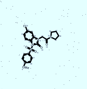 COc1ccc(S(=O)(=O)n2c(=O)n(CC(=O)N3CCCC3)c3cc(Cl)ccc32)cc1